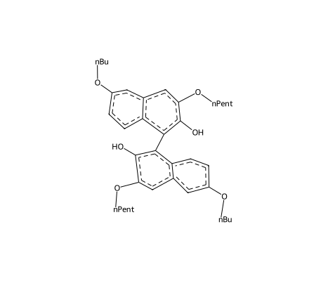 CCCCCOc1cc2cc(OCCCC)ccc2c(-c2c(O)c(OCCCCC)cc3cc(OCCCC)ccc23)c1O